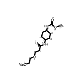 COCCOCCC(=O)NC1CCC(NC(=O)OC(C)(C)C)CC1